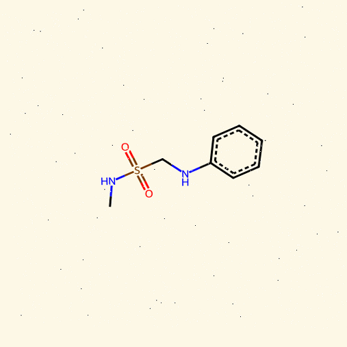 CNS(=O)(=O)CNc1cc[c]cc1